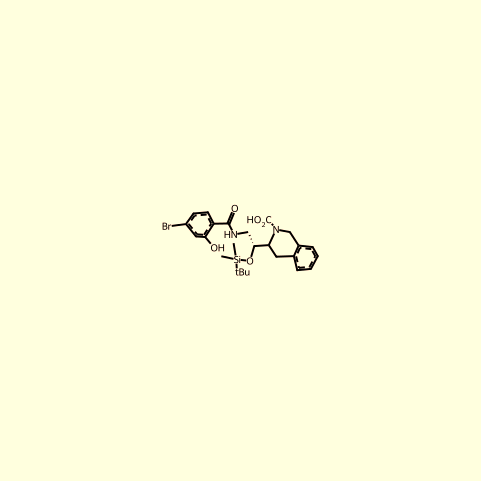 CC(C)(C)[Si](C)(C)O[C@H](CNC(=O)c1ccc(Br)cc1O)C1Cc2ccccc2CN1C(=O)O